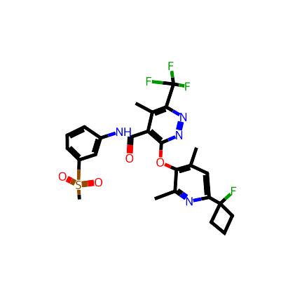 Cc1cc(C2(F)CCC2)nc(C)c1Oc1nnc(C(F)(F)F)c(C)c1C(=O)Nc1cccc(S(C)(=O)=O)c1